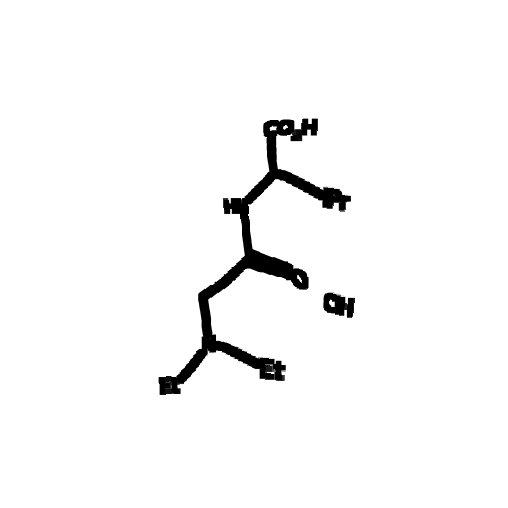 CCN(CC)CC(=O)NC(C(=O)O)C(C)C.Cl